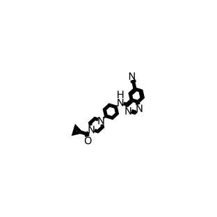 N#Cc1ccc2ncnc(N[C@H]3CC[C@H](N4CCN(C(=O)C5CC5)CC4)CC3)c2c1